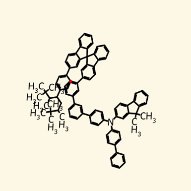 CC(CC(c1ccc(-c2ccc3c(c2)C2(c4ccccc4-3)c3ccccc3-c3ccc(-c4cccc(-c5cccc(-c6ccc(N(c7ccc(-c8ccccc8)cc7)c7ccc8c(c7)C(C)(C)c7ccccc7-8)cc6)c5)c4)cc32)cc1)C(C)C(C)(C)C)C(C)(C)C